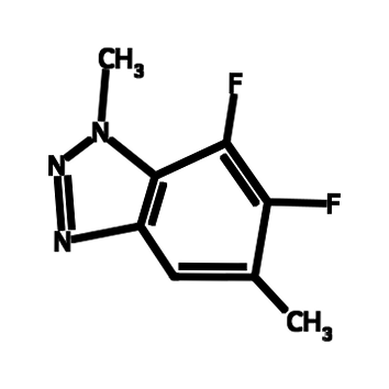 Cc1cc2nnn(C)c2c(F)c1F